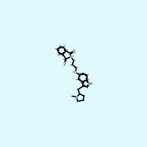 CN1CCCC1Cc1c[nH]c2ccc(OCCCN3C(=O)c4ccccc4C3=O)cc12